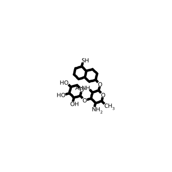 CC(=O)NC1C(OC2CCC3C(S)CCCC3C2)OC(C)C(N)C1OC1OCC(O)C(O)C1O